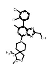 Cc1nc(N2CCC3(CC2)CO[C@@H](C)[C@H]3N)n2nc(CO)nc2c1-c1cccc(Cl)c1Cl